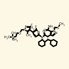 CSCn1ncc([C@@H](C(=O)Nc2ccc(-c3c(C)nn(COCC[Si](C)(C)C)c3C)c(F)n2)C(C2CCCCC2)C2CCCCC2)c1C(N)=O